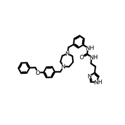 O=C(NCCc1c[nH]cn1)Nc1cccc(CN2CCCN(Cc3ccc(OCc4ccccc4)cc3)CC2)c1